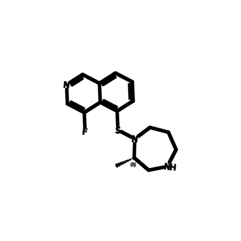 C[C@H]1CNCCCN1Sc1cccc2cncc(F)c12